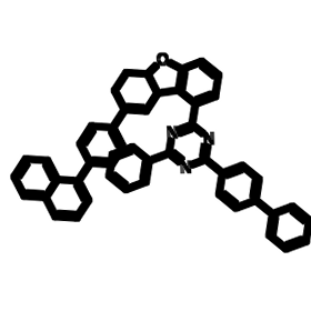 C1=C(c2ccc(-c3cccc4ccccc34)cc2)CCC2Oc3cccc(-c4nc(-c5ccccc5)nc(-c5ccc(-c6ccccc6)cc5)n4)c3C12